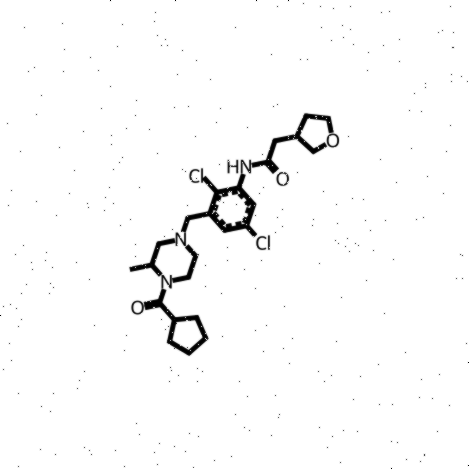 CC1CN(Cc2cc(Cl)cc(NC(=O)CC3CCOC3)c2Cl)CCN1C(=O)C1CCCC1